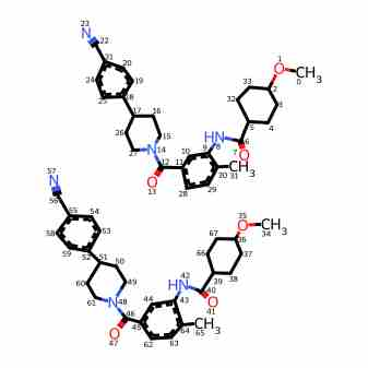 COC1CCC(C(=O)Nc2cc(C(=O)N3CCC(c4ccc(C#N)cc4)CC3)ccc2C)CC1.COC1CCC(C(=O)Nc2cc(C(=O)N3CCC(c4ccc(C#N)cc4)CC3)ccc2C)CC1